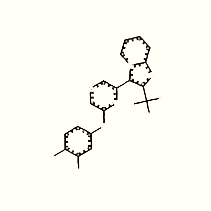 FC(F)(F)c1nc2ccccn2c1-c1cncc(Nc2ccc(Br)c(Cl)c2)n1